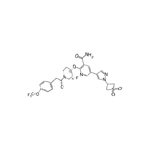 NC(=O)c1cc(-c2cnn(C3CS(=O)(=O)C3)c2)cnc1O[C@H]1CCN(C(=O)Cc2ccc(OC(F)(F)F)cc2)C[C@H]1F